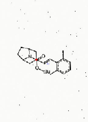 Cc1cccc(C)c1/C=C/C1CC2CCC(C1)N2C(=O)OC(C)(C)C